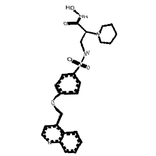 O=C(NO)[C@H](CNS(=O)(=O)c1ccc(OCc2ccnc3ccccc23)cc1)N1CCCCC1